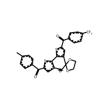 Cc1ccc(C(=O)c2cc3c(s2)-c2sc(C(=O)c4ccc(C(F)(F)F)cc4)cc2C2(OCCO2)C32OCCO2)cc1